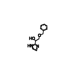 OC(COCc1ccccc1)c1ncc[nH]1